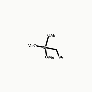 CO[Si](CC(C)C)(OC)OC